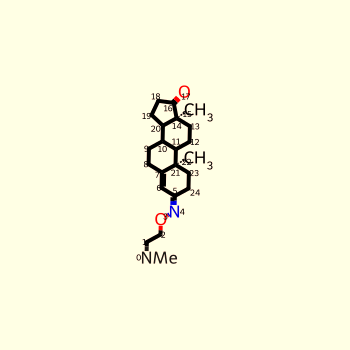 CNCCON=C1C=C2CCC3C(CC[C@]4(C)C(=O)CCC34)[C@@]2(C)CC1